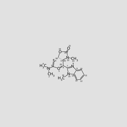 CN(C)C(=S)O[C@H](c1nc2ccccc2n1C)[C@@H]1COC(=O)N1C